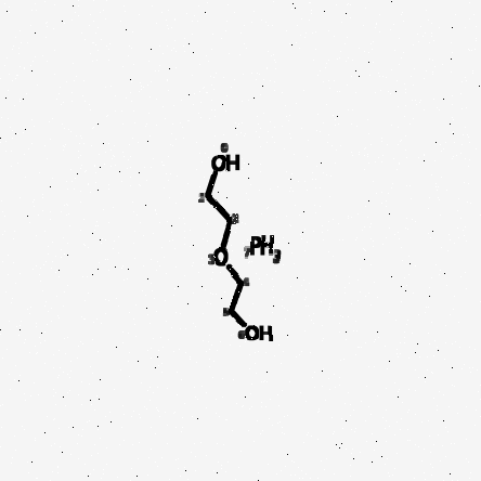 OCCOCCO.P